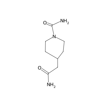 NC(=O)CC1CCN(C(N)=O)CC1